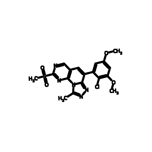 COc1cc(OC)c(Cl)c(-c2cc3cnc(S(C)(=O)=O)nc3n3c(C)nnc23)c1